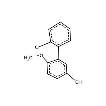 O.Oc1ccc(O)c(-c2ccccc2Cl)c1